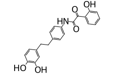 O=C(Nc1ccc(CCc2ccc(O)c(O)c2)cc1)C(=O)c1ccccc1O